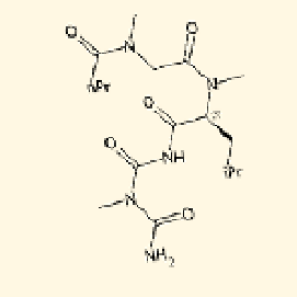 CCCC(=O)N(C)CC(=O)N(C)[C@@H](CC(C)C)C(=O)NC(=O)N(C)C(N)=O